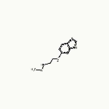 CSNCCNc1ccc2nc[nH]c2c1